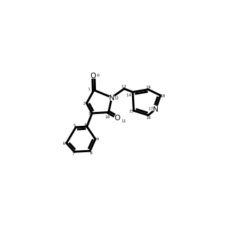 O=C1C=C(c2ccccc2)C(=O)N1Cc1ccncc1